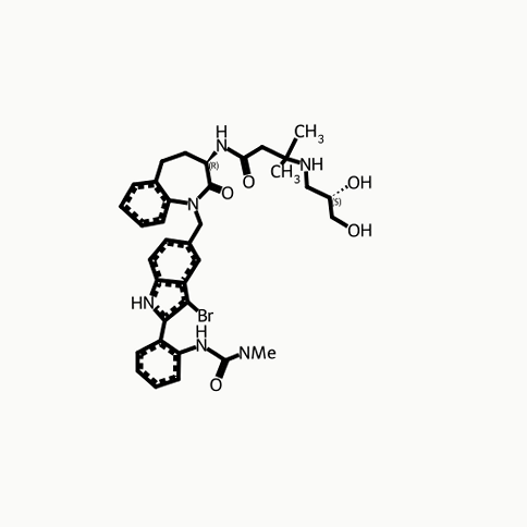 CNC(=O)Nc1ccccc1-c1[nH]c2ccc(CN3C(=O)[C@H](NC(=O)CC(C)(C)NC[C@H](O)CO)CCc4ccccc43)cc2c1Br